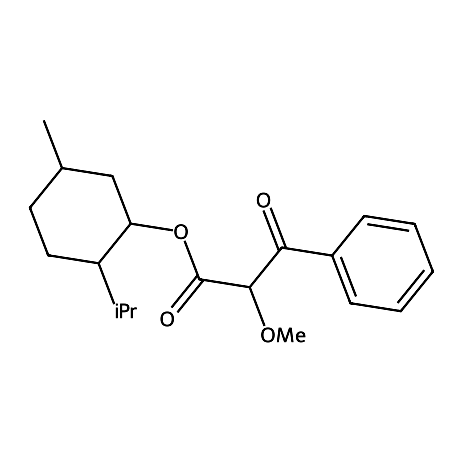 COC(C(=O)OC1CC(C)CCC1C(C)C)C(=O)c1ccccc1